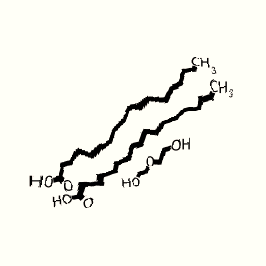 CCCCCCCCCCCCCCCCCC(=O)O.CCCCCCCCCCCCCCCCCC(=O)O.OCCOCCO